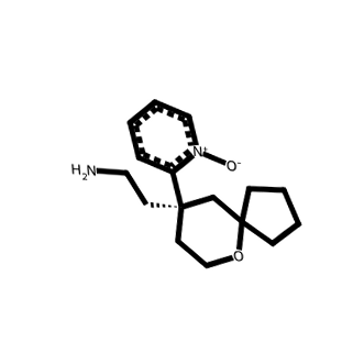 NCC[C@@]1(c2cccc[n+]2[O-])CCOC2(CCCC2)C1